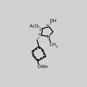 COc1ccc(C[C@@H]2[C@H](OC(C)=O)[C@H](O)CN2C)cc1